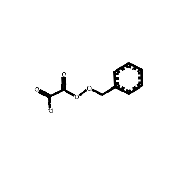 O=C(Cl)C(=O)OOCc1ccccc1